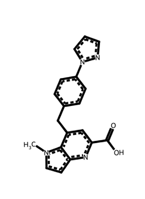 Cn1ccc2nc(C(=O)O)cc(Cc3ccc(-n4cccn4)cc3)c21